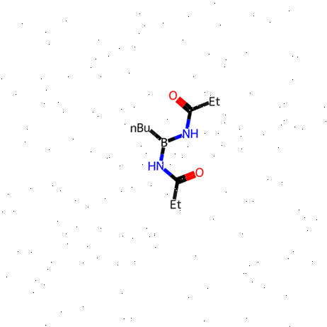 [CH2]CCCB(NC(=O)CC)NC(=O)CC